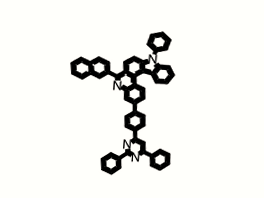 c1ccc(-c2cc(-c3ccc(-c4ccc5c(c4)nc(-c4ccc6ccccc6c4)c4ccc6c(c7ccccc7n6-c6ccccc6)c45)cc3)nc(-c3ccccc3)n2)cc1